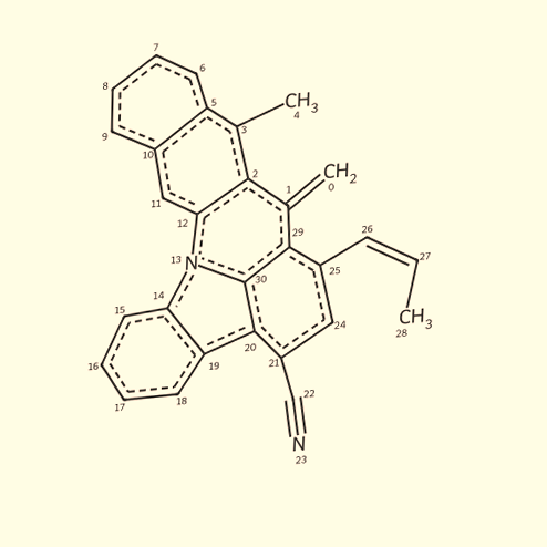 C=c1c2c(C)c3ccccc3cc2n2c3ccccc3c3c(C#N)cc(/C=C\C)c1c32